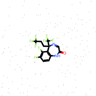 O=C1C=NC(CCC(F)(F)F)(C(F)(F)F)c2c(ccc(F)c2F)N1